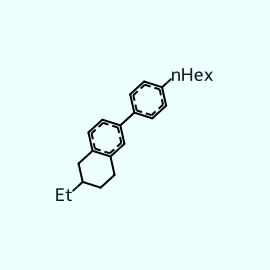 CCCCCCc1ccc(-c2ccc3c(c2)CCC(CC)C3)cc1